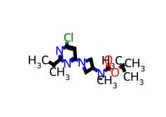 CC(C)c1nc(Cl)cc(N2CC(N(C)C(=O)OC(C)(C)C)C2)n1